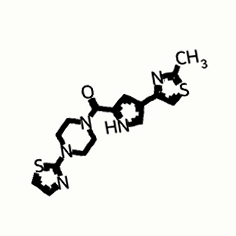 Cc1nc(-c2c[nH]c(C(=O)N3CCN(c4nccs4)CC3)c2)cs1